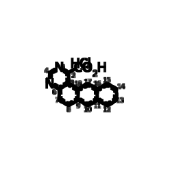 Cl.O=C(O)c1ncnc2ccc3cc4ccccc4cc3c12